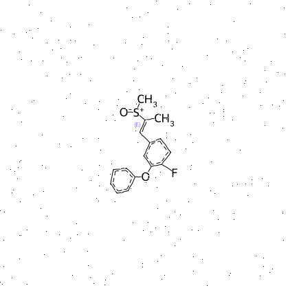 C/C(=C\c1ccc(F)c(Oc2ccccc2)c1)[S+](C)[O-]